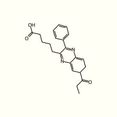 CCC(=O)C1C=c2nc(CCCCC(=O)O)c(-c3ccccc3)nc2=CC1